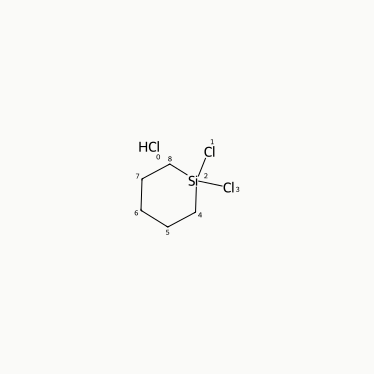 Cl.Cl[Si]1(Cl)CCCCC1